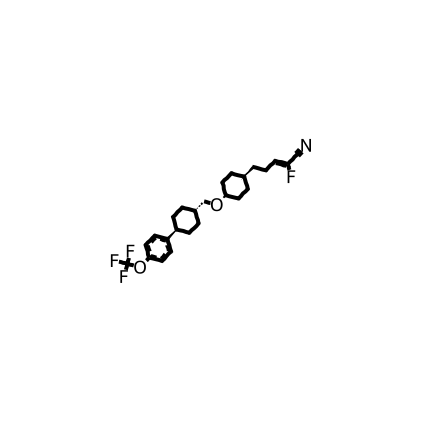 N#C/C(F)=C/CC[C@H]1CC[C@H](OC[C@H]2CC[C@H](c3ccc(OC(F)(F)F)cc3)CC2)CC1